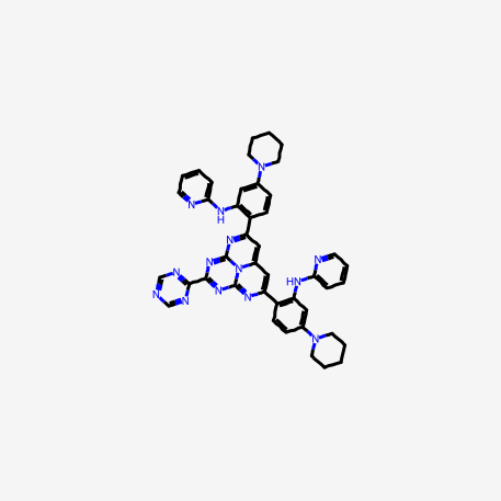 C1=C(c2ccc(N3CCCCC3)cc2Nc2ccccn2)N=C2N=C(c3ncncn3)N=C3N=C(c4ccc(N5CCCCC5)cc4Nc4ccccn4)C=C1N23